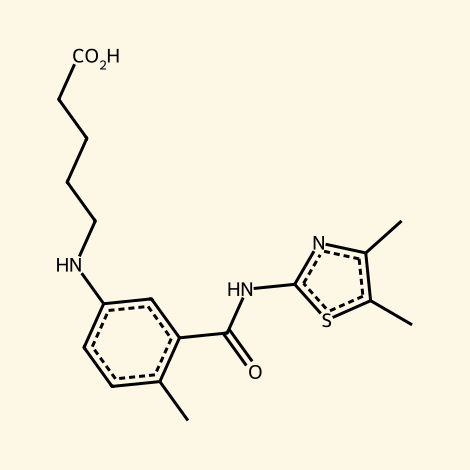 Cc1ccc(NCCCCC(=O)O)cc1C(=O)Nc1nc(C)c(C)s1